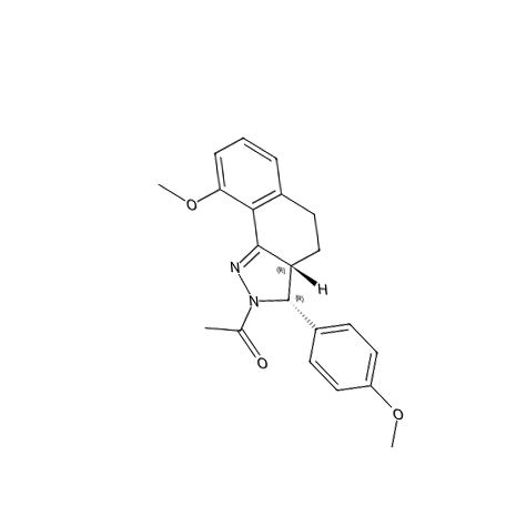 COc1ccc([C@H]2[C@H]3CCc4cccc(OC)c4C3=NN2C(C)=O)cc1